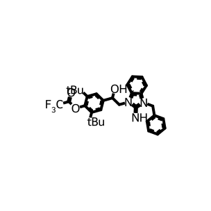 CC(C)(C)c1cc(C(O)Cn2c(=N)n(Cc3ccccc3)c3ccccc32)cc(C(C)(C)C)c1OC(=O)C(F)(F)F